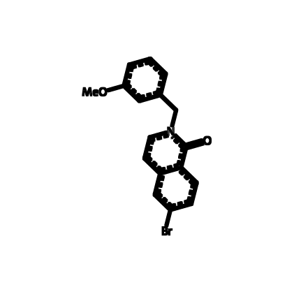 COc1cccc(Cn2ccc3cc(Br)ccc3c2=O)c1